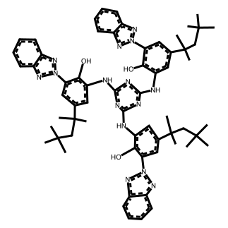 CC(C)(C)CC(C)(C)c1cc(Nc2nc(Nc3cc(C(C)(C)CC(C)(C)C)cc(-n4nc5ccccc5n4)c3O)nc(Nc3cc(C(C)(C)CC(C)(C)C)cc(-n4nc5ccccc5n4)c3O)n2)c(O)c(-n2nc3ccccc3n2)c1